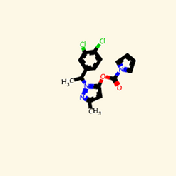 Cc1cc(OC(=O)n2cccc2)n(C(C)c2ccc(Cl)c(Cl)c2)n1